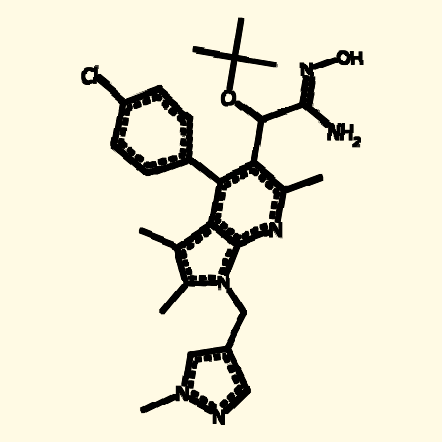 Cc1nc2c(c(C)c(C)n2Cc2cnn(C)c2)c(-c2ccc(Cl)cc2)c1C(OC(C)(C)C)/C(N)=N/O